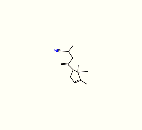 C=C(CC(C)C#N)C1CC=C(C)C1(C)C